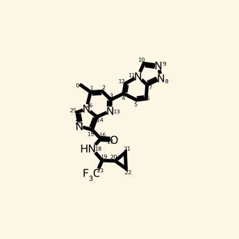 Cc1cc(-c2ccc3nncn3c2)nc2c(C(=O)NC(C3CC3)C(F)(F)F)ncn12